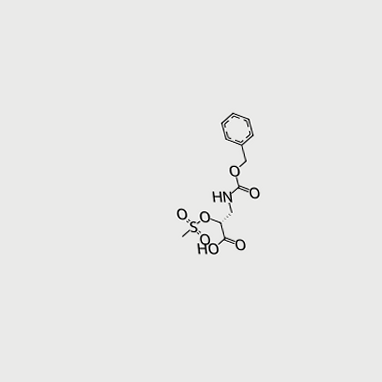 CS(=O)(=O)O[C@H](CNC(=O)OCc1ccccc1)C(=O)O